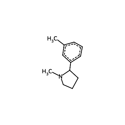 Cc1cccc(C2CCCN2C)c1